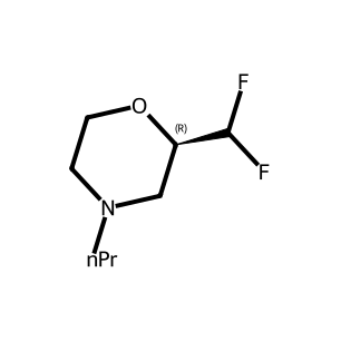 CCCN1CCO[C@@H](C(F)F)C1